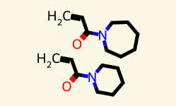 C=CC(=O)N1CCCCC1.C=CC(=O)N1CCCCCC1